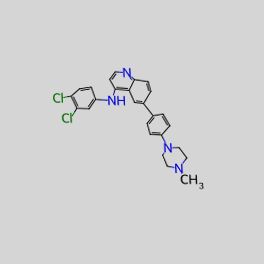 CN1CCN(c2ccc(-c3ccc4nccc(Nc5ccc(Cl)c(Cl)c5)c4c3)cc2)CC1